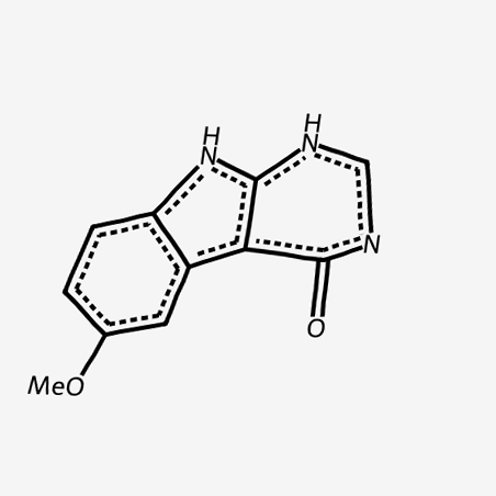 COc1ccc2[nH]c3[nH]cnc(=O)c3c2c1